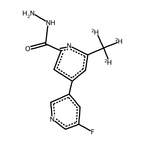 [2H]C([2H])([2H])c1cc(-c2cncc(F)c2)cc(C(=O)NN)n1